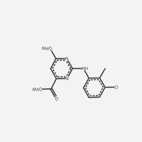 COC(=O)c1cc(OC)nc(Nc2cccc(Cl)c2C)n1